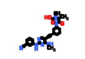 CNc1nc(Nc2cccc(C#N)c2)ncc1C#C[C@@H]1CCC[C@H](NC(=O)C(C)N(C)C(=O)O)C1